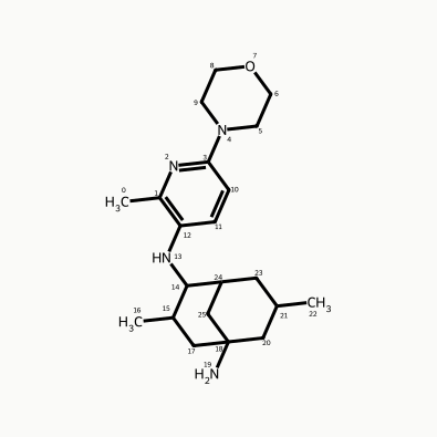 Cc1nc(N2CCOCC2)ccc1NC1C(C)CC2(N)CC(C)CC1C2